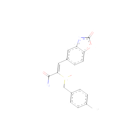 COc1ccc(C[S+]([O-])/C(=C\c2ccc3oc(=O)[nH]c3c2)C(N)=O)cc1